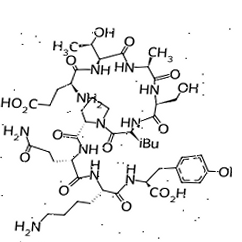 CC[C@H](C)[C@H](NC(=O)[C@H](CO)NC(=O)[C@H](C)NC(=O)[C@@H](NC(=O)[C@@H](N)CCC(=O)O)[C@@H](C)O)C(=O)N1CCC[C@H]1C(=O)N[C@@H](CCC(N)=O)C(=O)N[C@@H](CCCCN)C(=O)N[C@@H](Cc1ccc(O)cc1)C(=O)O